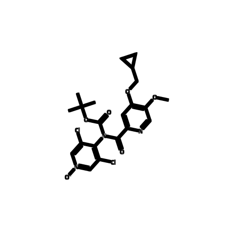 COc1cnc(C(=O)N(C(=O)OC(C)(C)C)c2c(Cl)c[n+]([O-])cc2Cl)cc1OCC1CC1